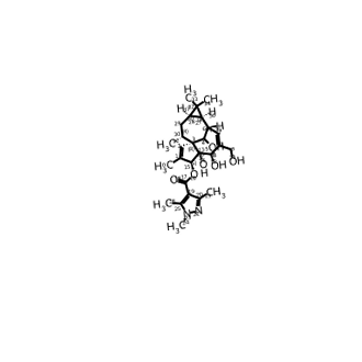 CC1=C[C@]23C(O)[C@@H](C=C(CO)[C@@H](O)[C@]2(O)[C@H]1OC(=O)c1c(C)nn(C)c1C)[C@H]1[C@@H](C[C@H]3C)C1(C)C